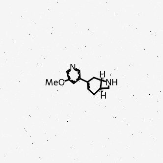 COc1cncc(C2=CC[C@H]3CN[C@H]3C2)c1